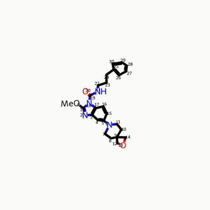 COc1nc2cc(N3CCC4(CC3)COC4)ccc2n1C(=O)NCCCc1ccccc1